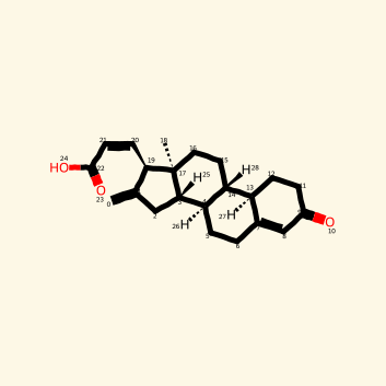 C=C1C[C@H]2[C@@H]3CCC4=CC(=O)CC[C@@H]4[C@H]3CC[C@]2(C)[C@@H]1/C=C\C(=O)O